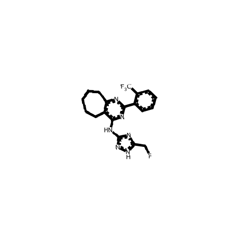 FCc1nc(Nc2nc(-c3ccccc3C(F)(F)F)nc3c2CCCCC3)n[nH]1